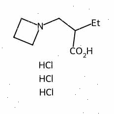 CCC(CN1CCC1)C(=O)O.Cl.Cl.Cl